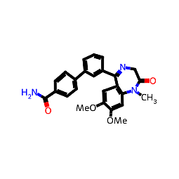 COc1cc2c(cc1OC)N(C)C(=O)CN=C2c1cccc(-c2ccc(C(N)=O)cc2)c1